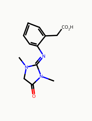 CN1CC(=O)N(C)C1=Nc1ccccc1CC(=O)O